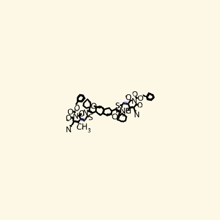 CC1=C(C#N)C(=O)N(C(=O)OCc2ccccc2)C(=O)/C1=C\c1nc2c(s1)C1CC3C=C4OC5(CCCCC5)C5=C(SC(/C=C6/C(=O)N(C(=O)OCc7ccccc7)C(=O)C(C#N)=C6C)N5)C4CC3C=C1OC21CCCCC1